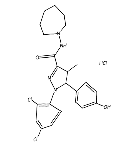 CC1C(C(=O)NN2CCCCCC2)=NN(c2ccc(Cl)cc2Cl)C1c1ccc(O)cc1.Cl